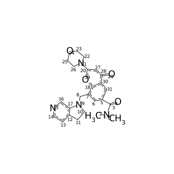 CN(C)C(=O)c1cc(CN2CCc3ccncc32)c2oc(N3CCOCC3)cc(=O)c2c1